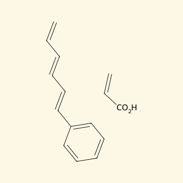 C=CC(=O)O.C=CC=CC=Cc1ccccc1